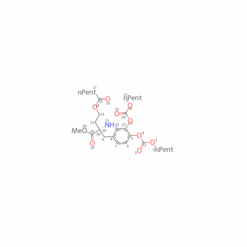 CCCCCOC(=O)Oc1ccc(C[C@](N)(CCOC(=O)CCCCC)C(=O)OC)cc1OC(=O)OCCCCC